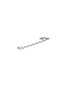 CCCCCCCCCCCCC1CNCN1